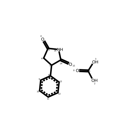 O=C(O)O.O=C1CC(c2ccccc2)C(=O)N1